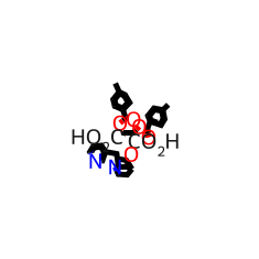 Cc1ccc(C(=O)O[C@H](C(=O)O)[C@H](OC(=O)c2ccc(C)cc2)C(=O)O)cc1.O=C1C2CCN(CC2)C1Cc1cccnc1